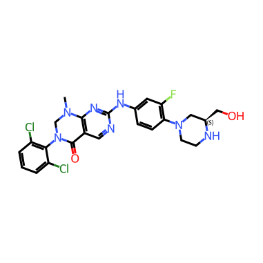 CN1CN(c2c(Cl)cccc2Cl)C(=O)c2cnc(Nc3ccc(N4CCN[C@H](CO)C4)c(F)c3)nc21